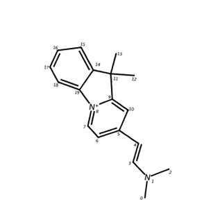 CN(C)/C=C/c1cc[n+]2c(c1)C(C)(C)c1ccccc1-2